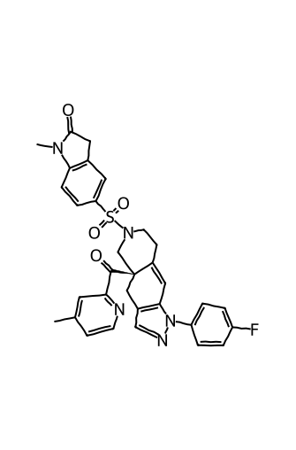 Cc1ccnc(C(=O)[C@]23Cc4cnn(-c5ccc(F)cc5)c4C=C2CCN(S(=O)(=O)c2ccc4c(c2)CC(=O)N4C)C3)c1